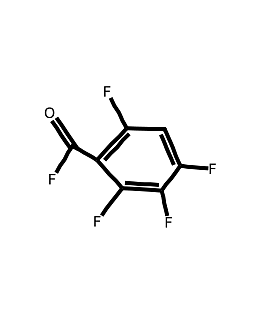 O=C(F)c1c(F)cc(F)c(F)c1F